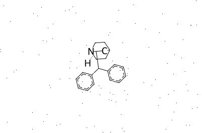 c1ccc(C(c2ccccc2)[C@@H]2CC3CCN2CC3)cc1